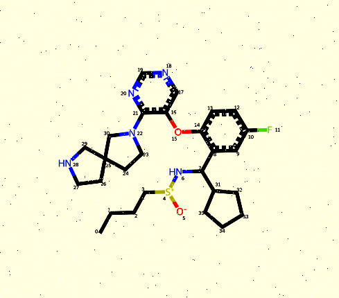 CCCC[S+]([O-])NC(c1cc(F)ccc1Oc1cncnc1N1CCC2(CCNC2)C1)C1CCCC1